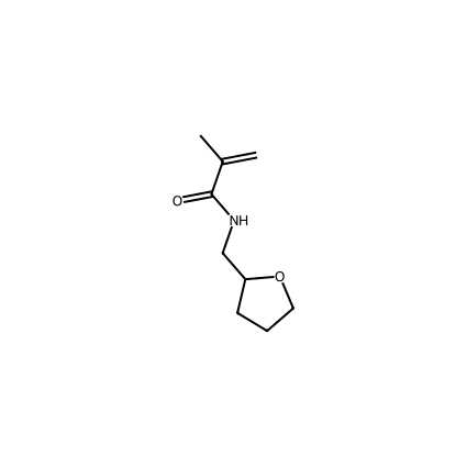 C=C(C)C(=O)NCC1CCCO1